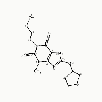 Cn1c(=O)n(CCCO)c(=O)c2[nH]c(OC3CCCC3)nc21